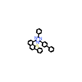 c1ccc(-c2ccc(-c3nc(-c4ccccc4)nc(-c4cccc5ccc6c7ccccc7sc6c45)n3)cc2)cc1